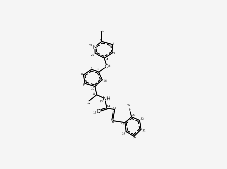 Cc1ccc(Oc2cccc(C(C)NC(=O)C=Cc3ccccc3F)c2)cn1